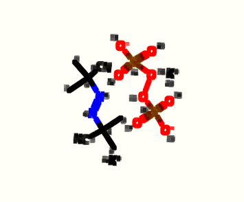 CC(C)(C#N)N=NC(C)(C)C#N.O=S(=O)([O-])OOS(=O)(=O)[O-].[K+].[K+]